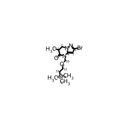 CC1Cn2nc(Br)cc2N(COCC[Si](C)(C)C)C1=O